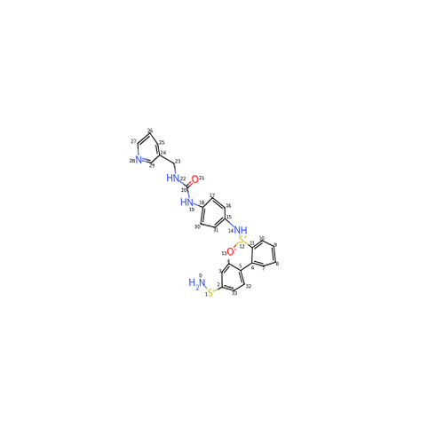 NSc1ccc(-c2ccccc2[S+]([O-])Nc2ccc(NC(=O)NCc3cccnc3)cc2)cc1